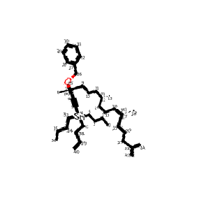 CCC[CH2][Sn]([C]#C[C@@](C)(CCC[C@H](C)CCC[C@H](C)CCCC(C)C)OCc1ccccc1)([CH2]CCC)[CH2]CCC